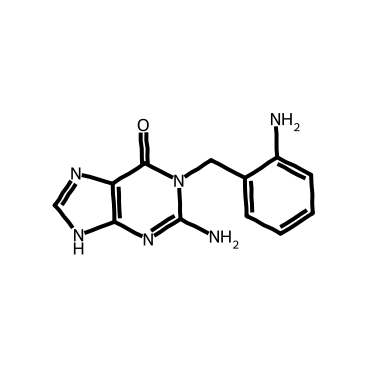 Nc1ccccc1Cn1c(N)nc2[nH]cnc2c1=O